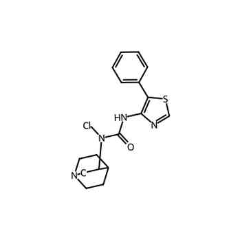 O=C(Nc1ncsc1-c1ccccc1)N(Cl)C1CN2CCC1CC2